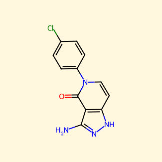 Nc1n[nH]c2ccn(-c3ccc(Cl)cc3)c(=O)c12